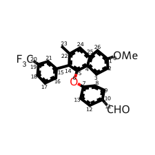 COc1ccc2c(Oc3ccc(C=O)cc3)c(-c3cccc(C(F)(F)F)c3)c(C)cc2c1